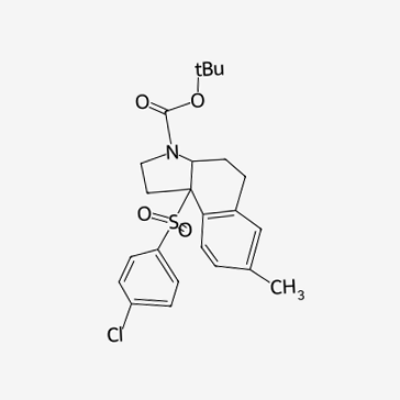 Cc1ccc2c(c1)CCC1N(C(=O)OC(C)(C)C)CCC21S(=O)(=O)c1ccc(Cl)cc1